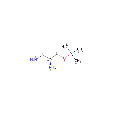 CC(C)(C)OC[C@@H](N)CN